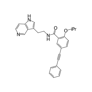 CC(C)Oc1ccc(C#Cc2ccccc2)cc1C(=O)NCCc1c[nH]c2ccncc12